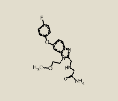 COCCn1c(CNCC(N)=O)nc2ccc(Oc3ccc(F)cc3)cc21